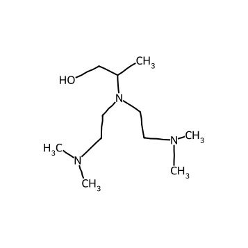 CC(CO)N(CCN(C)C)CCN(C)C